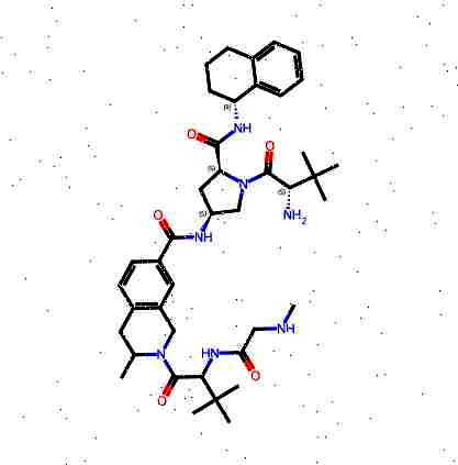 CNCC(=O)NC(C(=O)N1Cc2cc(C(=O)N[C@H]3C[C@@H](C(=O)N[C@@H]4CCCc5ccccc54)N(C(=O)[C@@H](N)C(C)(C)C)C3)ccc2CC1C)C(C)(C)C